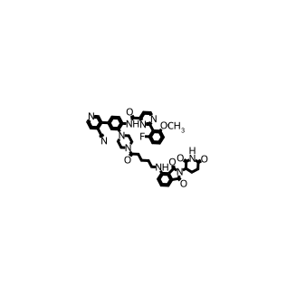 COc1cccc(F)c1-c1nccc(C(=O)Nc2ccc(-c3cnccc3C#N)cc2N2CCN(C(=O)CCCCNc3cccc4c3C(=O)N(C3CCC(=O)NC3=O)C4=O)CC2)n1